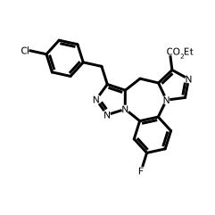 CCOC(=O)c1ncn2c1Cc1c(Cc3ccc(Cl)cc3)nnn1-c1cc(F)ccc1-2